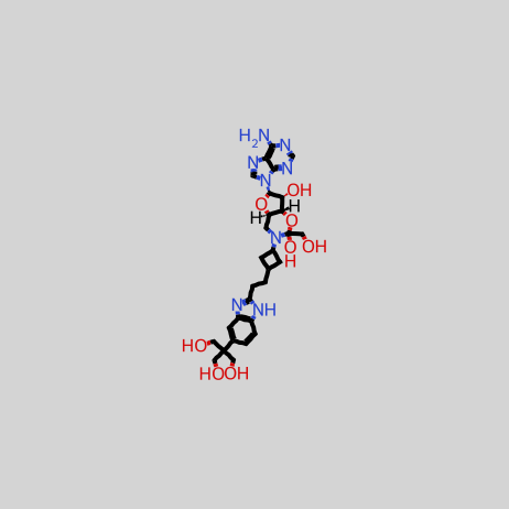 Nc1ncnc2c1ncn2[C@@H]1O[C@@H]2CN(C3CC(CCc4nc5cc(C(CO)(CO)CO)ccc5[nH]4)C3)C(O)(CO)O[C@H]2[C@H]1O